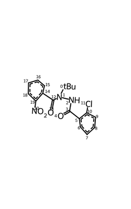 CC(C)(C)N(NC(=O)c1ccccc1Cl)C(=O)c1ccccc1[N+](=O)[O-]